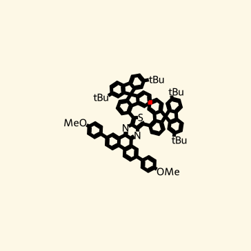 COc1ccc(-c2ccc3c4ccc(-c5ccc(OC)cc5)cc4c4nc5c(-c6cccc7c6-c6ccccc6C76c7cc(C(C)(C)C)ccc7-c7ccc(C(C)(C)C)cc76)sc(-c6cccc7c6-c6ccccc6C76c7cc(C(C)(C)C)ccc7-c7ccc(C(C)(C)C)cc76)c5nc4c3c2)cc1